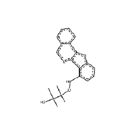 CC(C)(O)C(C)(C)OBc1cccc2oc3c4ccccc4cnc3c12